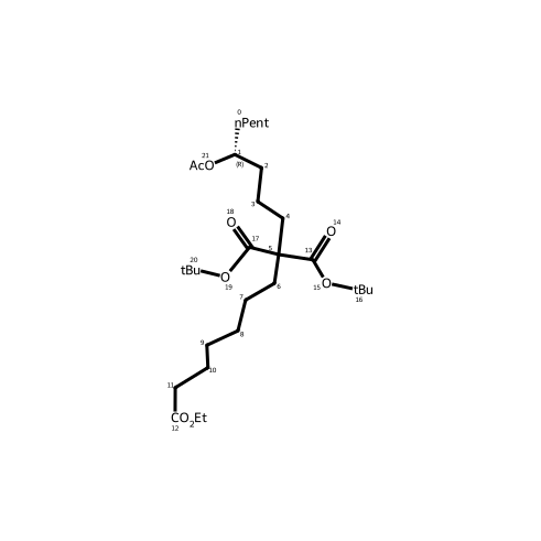 CCCCC[C@H](CCCC(CCCCCCC(=O)OCC)(C(=O)OC(C)(C)C)C(=O)OC(C)(C)C)OC(C)=O